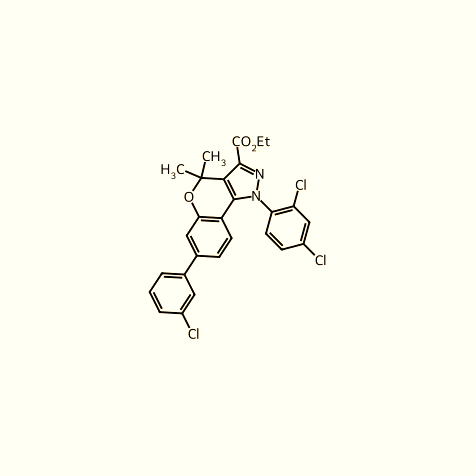 CCOC(=O)c1nn(-c2ccc(Cl)cc2Cl)c2c1C(C)(C)Oc1cc(-c3cccc(Cl)c3)ccc1-2